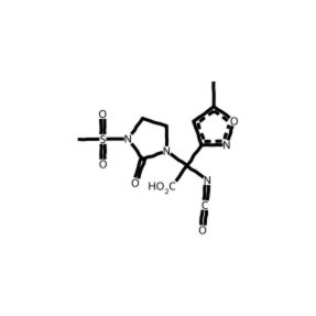 Cc1cc(C(N=C=O)(C(=O)O)N2CCN(S(C)(=O)=O)C2=O)no1